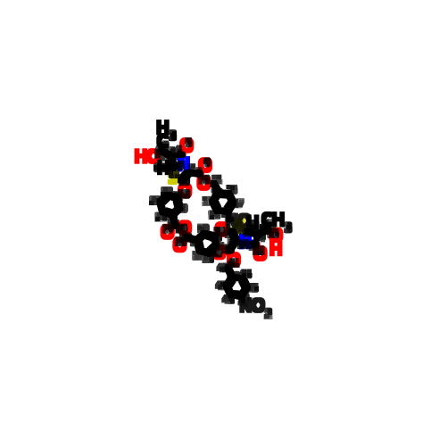 C[C@@H](O)[C@H]1C(=O)N2C(C(=O)OCc3ccc([N+](=O)[O-])cc3)=C(Oc3cccc(C(=O)OC(=O)c4cccc(OC5=C(C(=O)OCc6ccc([N+](=O)[O-])cc6)N6C(=O)[C@H]([C@@H](C)O)[C@H]6S5)c4)c3)S[C@H]12